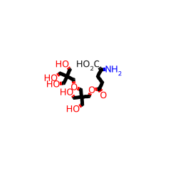 NC(CCC(=O)OCC(CO)(CO)COCC(CO)(CO)CO)C(=O)O